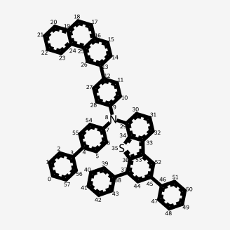 c1ccc(-c2ccc(N(c3ccc(-c4ccc5ccc6ccccc6c5c4)cc3)c3cccc4c3sc3c(-c5ccccc5)cc(-c5ccccc5)cc34)cc2)cc1